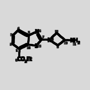 CCOC(=O)c1cccc2nc(N3CC(N)C3)sc12